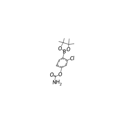 CC1(C)OB(c2ccc(OC(N)=O)cc2Cl)OC1(C)C